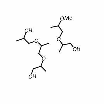 CC(O)COC(C)COC(C)CO.COC(C)COC(C)CO